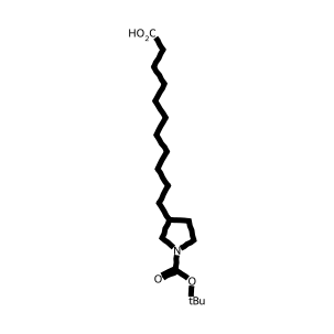 CC(C)(C)OC(=O)N1CCC(CCCCCCCCCCC(=O)O)C1